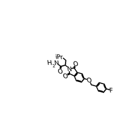 CC(C)CC(C(N)=O)N1C(=O)c2ccc(OCc3ccc(F)cc3)cc2C1=O